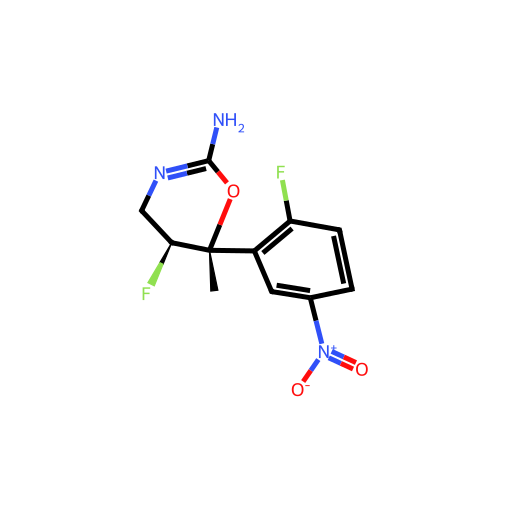 C[C@]1(c2cc([N+](=O)[O-])ccc2F)OC(N)=NC[C@@H]1F